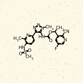 Cc1nc(-c2nnn(C)c2NC(=O)OC(C)c2cc(F)cnc2C#N)ccc1NS(C)(=O)=O